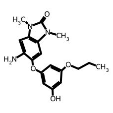 CCCOc1cc(O)cc(Oc2cc3c(cc2N)n(C)c(=O)n3C)c1